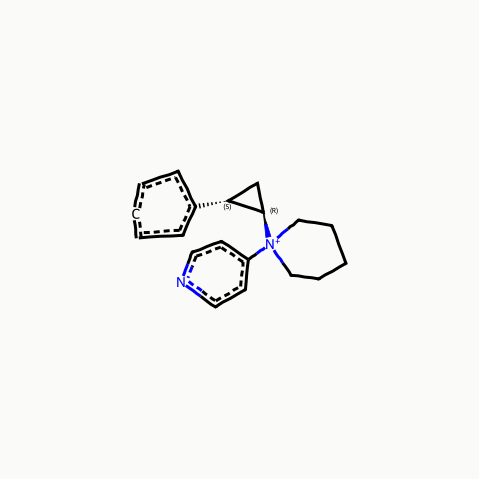 c1ccc([C@@H]2C[C@H]2[N+]2(c3ccncc3)CCCCC2)cc1